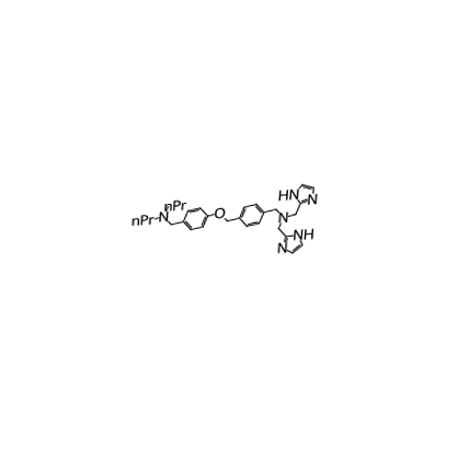 CCCN(CCC)Cc1ccc(OCc2ccc(CN(Cc3ncc[nH]3)Cc3ncc[nH]3)cc2)cc1